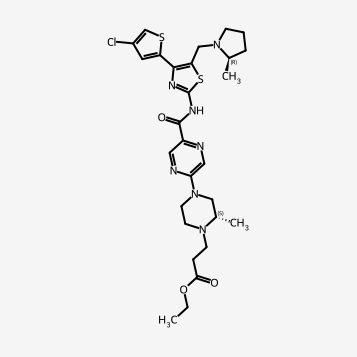 CCOC(=O)CCN1CCN(c2cnc(C(=O)Nc3nc(-c4cc(Cl)cs4)c(CN4CCC[C@H]4C)s3)cn2)C[C@@H]1C